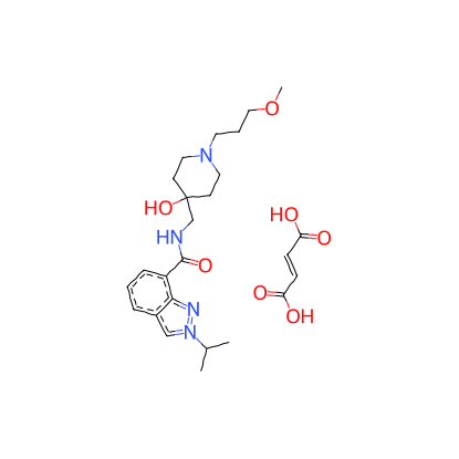 COCCCN1CCC(O)(CNC(=O)c2cccc3cn(C(C)C)nc23)CC1.O=C(O)C=CC(=O)O